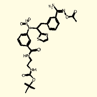 CC(=O)O/N=C(/N)c1cccc(CC(c2nccs2)N(c2cccc(C(=O)NCCNC(=O)OC(C)(C)C)c2)[SH](=O)=O)c1